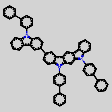 c1ccc(-c2ccc(-n3c4ccccc4c4cc5c6cc(-c7ccc8c(c7)c7ccccc7n8-c7cccc(-c8ccccc8)c7)ccc6n(-c6ccc(-c7ccccc7)cc6)c5cc43)cc2)cc1